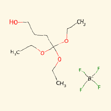 CCOC(CCCO)(OCC)OCC.F[B-](F)(F)F